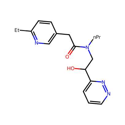 CCCN(CC(O)c1cccnn1)C(=O)Cc1ccc(CC)nc1